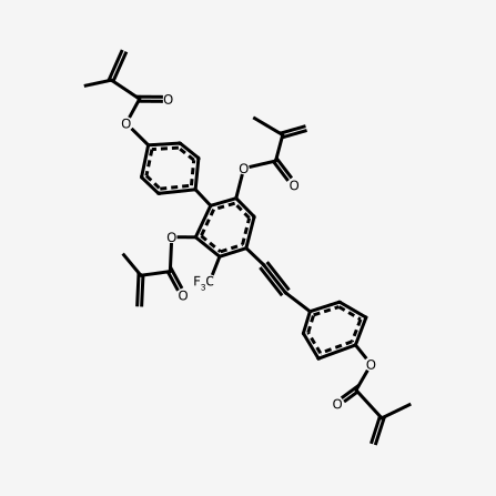 C=C(C)C(=O)Oc1ccc(C#Cc2cc(OC(=O)C(=C)C)c(-c3ccc(OC(=O)C(=C)C)cc3)c(OC(=O)C(=C)C)c2C(F)(F)F)cc1